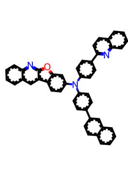 c1ccc2cc(-c3ccc(N(c4ccc(-c5ccc6ccccc6n5)cc4)c4ccc5c(c4)oc4nc6ccccc6cc45)cc3)ccc2c1